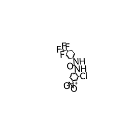 O=C(NC1=CCC(F)(C(F)(F)F)C=C1)Nc1ccc([N+](=O)[O-])cc1Cl